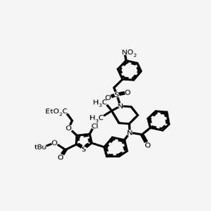 CCOC(=O)COc1c(C(=O)OC(C)(C)C)sc(-c2cccc(N(C(=O)c3ccccc3)C3CCN(S(=O)(=O)Cc4cccc([N+](=O)[O-])c4)C(C)(C)C3)c2)c1Cl